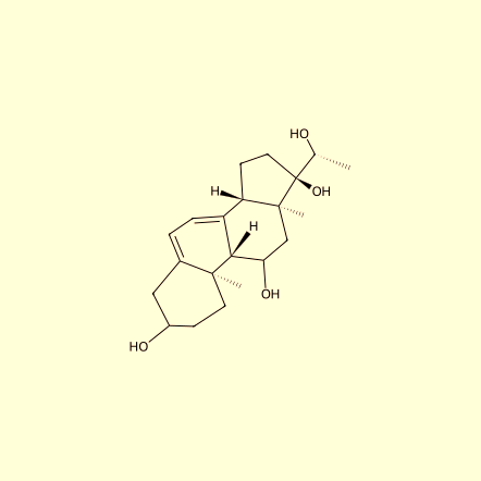 C[C@@H](O)[C@@]1(O)CC[C@H]2C3=CC=C4CC(O)CC[C@]4(C)[C@H]3C(O)C[C@@]21C